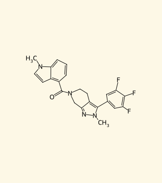 Cn1nc2c(c1-c1cc(F)c(F)c(F)c1)CCN(C(=O)c1cccc3c1ccn3C)C2